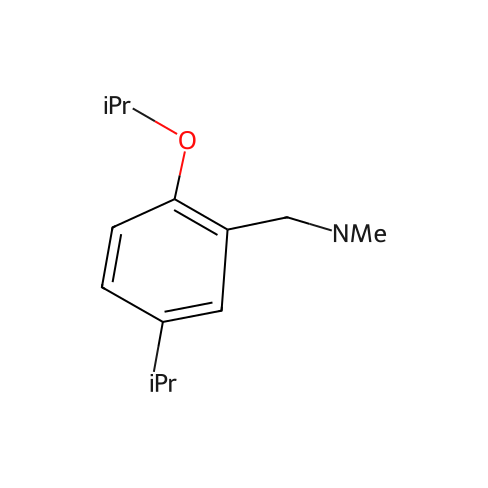 CNCc1cc(C(C)C)ccc1OC(C)C